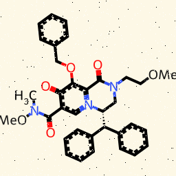 COCCN1C[C@H](C(c2ccccc2)c2ccccc2)n2cc(C(=O)N(C)OC)c(=O)c(OCc3ccccc3)c2C1=O